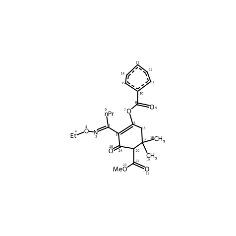 CCCC(=NOCC)C1=C(OC(=O)c2ccccc2)CC(C)(C)C(C(=O)OC)C1=O